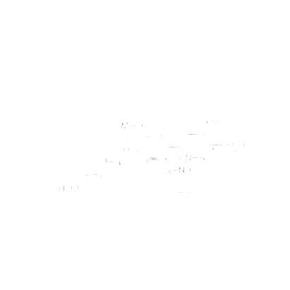 COc1cc2c(cc1OCCCCC(=O)O)CN(CC(C)C)n1cc(C(=O)O)c(=O)cc1-2